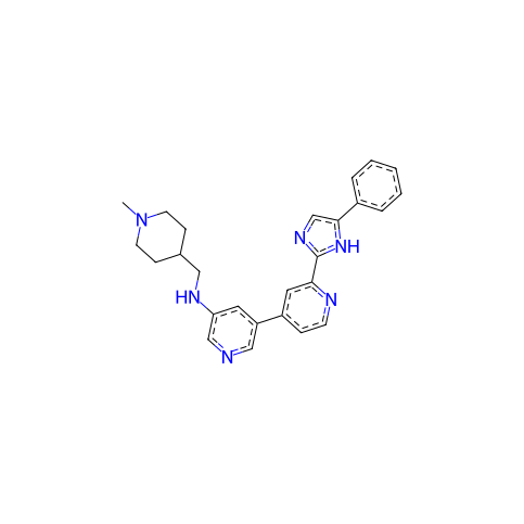 CN1CCC(CNc2cncc(-c3ccnc(-c4ncc(-c5ccccc5)[nH]4)c3)c2)CC1